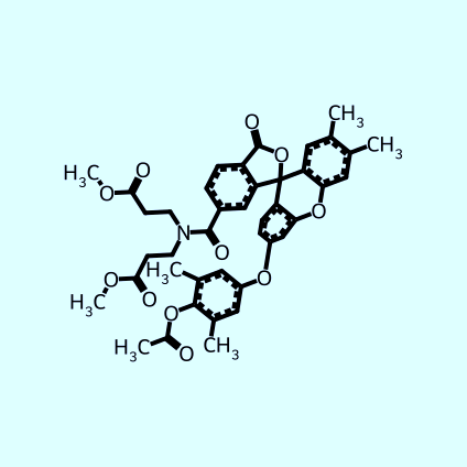 COC(=O)CCN(CCC(=O)OC)C(=O)c1ccc2c(c1)C1(OC2=O)c2ccc(Oc3cc(C)c(OC(C)=O)c(C)c3)cc2Oc2cc(C)c(C)cc21